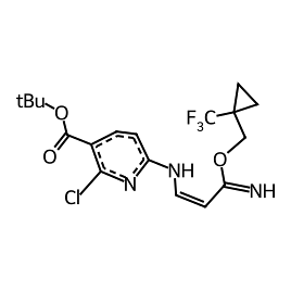 CC(C)(C)OC(=O)c1ccc(N/C=C\C(=N)OCC2(C(F)(F)F)CC2)nc1Cl